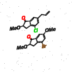 C=CCc1cc(Cl)c2c(c1)C(=O)C(OC)C2.COc1cc(Br)c2c(c1)C(=O)C(OC)C2